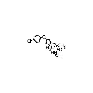 CC(C)(Cc1cc(Oc2ccc(Cl)cc2)cs1)C(=O)NO